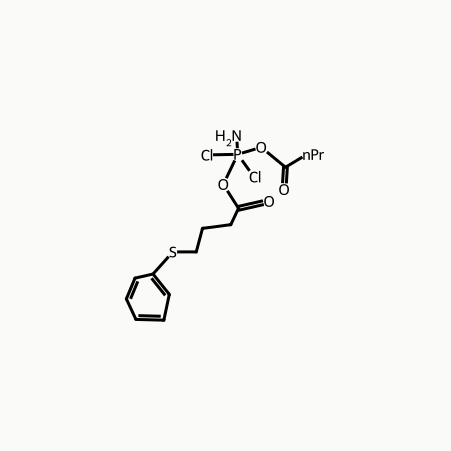 CCCC(=O)OP(N)(Cl)(Cl)OC(=O)CCCSc1ccccc1